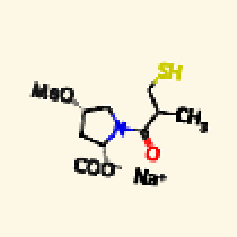 CO[C@H]1C[C@@H](C(=O)[O-])N(C(=O)C(C)CS)C1.[Na+]